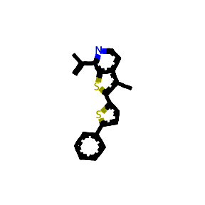 C=C(C)c1nccc2c(C)c(-c3ccc(-c4ccccc4)s3)sc12